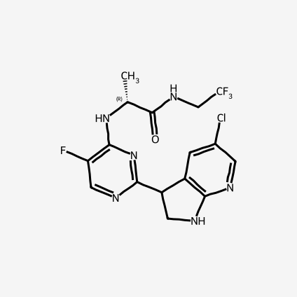 C[C@@H](Nc1nc(C2CNc3ncc(Cl)cc32)ncc1F)C(=O)NCC(F)(F)F